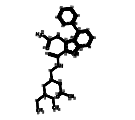 CCN(CC)CC(CNC(=O)c1[nH]c2cccc(-c3ccccc3)c2c1OC(C)=O)OC(C)=O